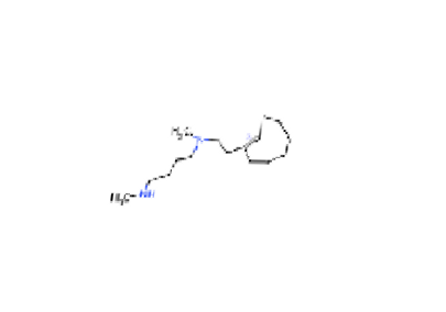 CNCCCCN(C)CC/C1=C\CCCCCC1